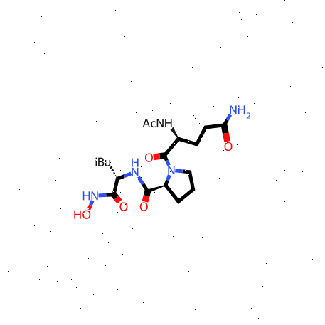 CCC(C)[C@H](NC(=O)[C@@H]1CCCN1C(=O)[C@H](CCC(N)=O)NC(C)=O)C(=O)NO